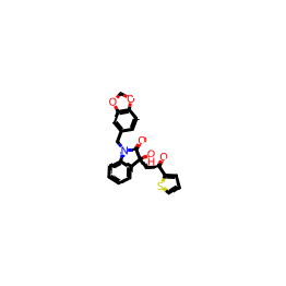 O=C(CC1(O)C(=O)N(Cc2ccc3c(c2)OCO3)c2ccccc21)c1cccs1